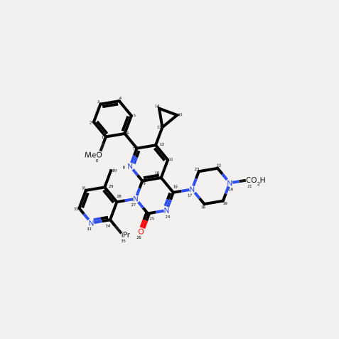 COc1ccccc1-c1nc2c(cc1C1CC1)c(N1CCN(C(=O)O)CC1)nc(=O)n2-c1c(C)ccnc1C(C)C